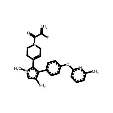 C=C(F)C(=O)N1CC=C(c2c(-c3ccc(Oc4cccc(C)n4)cc3)c(N)cn2C)CC1